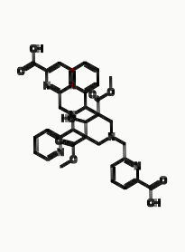 COC(=O)C12CN(Cc3cccc(C(=O)O)n3)CC(C(=O)OC)(C(c3ccccn3)N(Cc3cccc(C(=O)O)n3)C1c1ccccn1)C2O